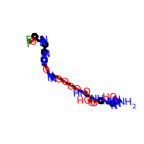 Cc1nc2ccc(-c3ccc(N4CCN(CCOCCn5cc(COCCOCCOCCOCCNC(=O)CC[C@@H](NC(=O)c6ccc(NCc7cnc8nc(N)nc(O)c8n7)cc6)C(=O)O)nn5)CC4)nc3)cn2c1Cc1ccccc1OC(F)F